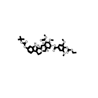 CCOC(=O)Oc1c(OC)cc(C(=O)O[C@@H]2C[C@@H]3CN4CCc5c([nH]c6cc(OC(=O)OC(C)(C)C)ccc56)[C@H]4C[C@@H]3[C@H](C(=O)OC)[C@H]2OC)cc1OC